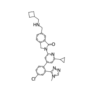 Cn1cnnc1-c1cc(Cl)ccc1-c1cc(C2CC2)nc(N2Cc3ccc(CNCC4CCC4)cc3C2=O)c1